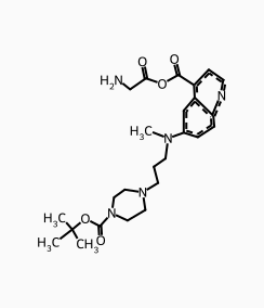 CN(CCCN1CCN(C(=O)OC(C)(C)C)CC1)c1ccc2nccc(C(=O)OC(=O)CN)c2c1